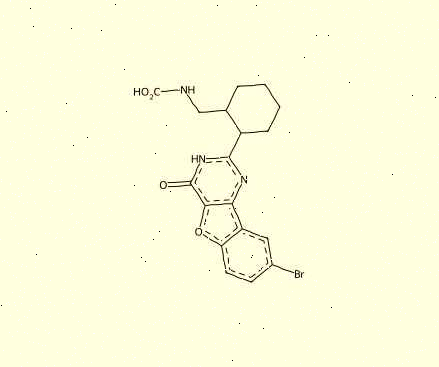 O=C(O)NCC1CCCCC1c1nc2c(oc3ccc(Br)cc32)c(=O)[nH]1